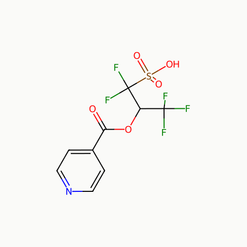 O=C(OC(C(F)(F)F)C(F)(F)S(=O)(=O)O)c1ccncc1